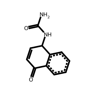 NC(=O)NC1C=CC(=O)c2ccccc21